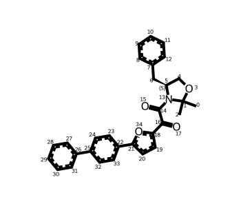 CC1(C)OC[C@H](Cc2ccccc2)N1C(=O)C(=O)c1ccc(-c2ccc(-c3ccccc3)cc2)o1